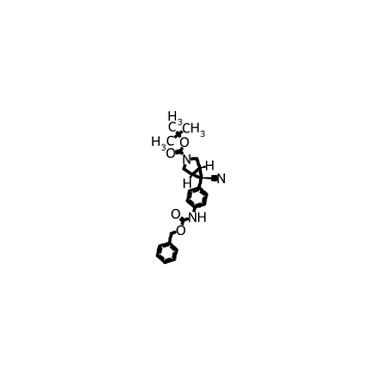 CC(C)(C)OC(=O)N1C[C@@H]2[C@H](C1)[C@]2(C#N)c1ccc(NC(=O)OCc2ccccc2)cc1